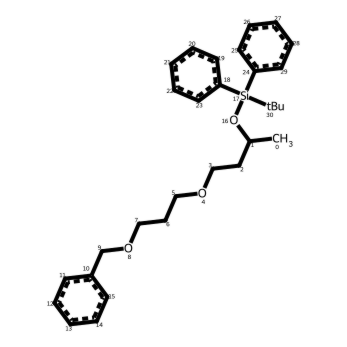 CC(CCOCCCOCc1ccccc1)O[Si](c1ccccc1)(c1ccccc1)C(C)(C)C